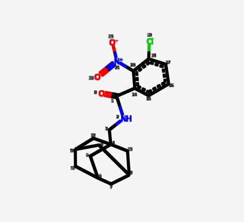 O=C(NCC12CC3CC(CC(C3)C1)C2)c1cccc(Cl)c1[N+](=O)[O-]